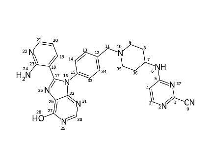 N#Cc1nccc(NC2CCN(Cc3ccc(-n4c(-c5cccnc5N)nc5c(O)ncnc54)cc3)CC2)n1